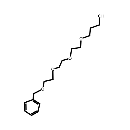 CCCCOCCOCCOCCOCc1ccccc1